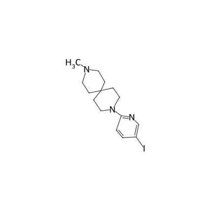 CN1CCC2(CC1)CCN(c1ccc(I)cn1)CC2